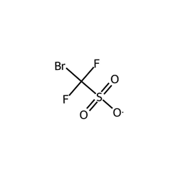 [O]S(=O)(=O)C(F)(F)Br